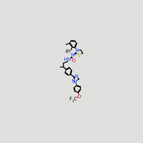 Cc1cccc(N2CCS/C2=N\C(=O)NCCC(C)c2ccc(-c3ncn(-c4ccc(OC(F)(F)F)cc4)n3)cc2)c1C(C)C